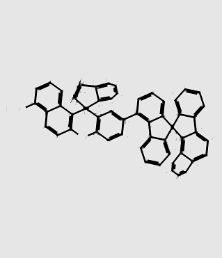 Cc1cccc2c3c(ccc12)Oc1ccc(-c2cccc4c2-c2ccccc2C42c4ccccc4-c4ccc5ccccc5c42)cc1C31c2ccccc2-c2ccccc21